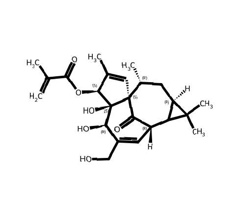 C=C(C)C(=O)O[C@H]1C(C)=C[C@]23C(=O)[C@@H](C=C(CO)[C@@H](O)[C@]12O)C1[C@@H](C[C@H]3C)C1(C)C